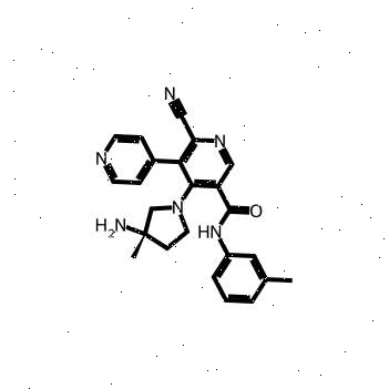 Cc1cccc(NC(=O)c2cnc(C#N)c(-c3ccncc3)c2N2CC[C@](C)(N)C2)c1